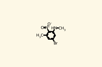 CNc1cc(Br)cc(C)c1[N+](=O)[O-]